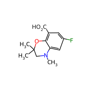 CN1CC(C)(C)Oc2c(C(=O)O)cc(F)cc21